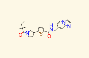 CCC(C)(C)C(=O)N1CCC(c2ccc(C(=O)NCc3ccn4ccnc4c3)s2)C1